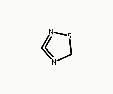 C1=NCSN=1